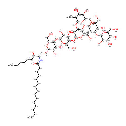 CCCCCCCCCCCCC/C=C/[C@@H](O)[C@H](CO[C@@H]1OC(CO)[C@@H](O[C@@H]2OC(CO)[C@H](O[C@@H]3OC(CO)[C@H](O[C@@H]4OC(CO)[C@H](O)[C@H](O[C@@H]5OC(CO)[C@H](O)[C@H](O)C5O)C4NC(C)=O)[C@H](O[C@@H]4OC(CO)[C@H](O)[C@H](O)C4NC(C)=O)C3O)[C@H](O)C2O)[C@H](O)C1O)NC(=O)CCCCCCCCCCCCCCCCCCCCCCC